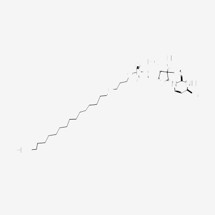 CCCCCCCCCCCCCCCCOCCCOP(=O)(O)OC[C@H]1O[C@@H](n2ccc(=O)[nH]c2=S)C(C)(O)[C@H]1O